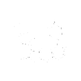 CN1CCN(c2cc(CN3CC(=O)N(c4ccc(OC(F)(F)F)cc4)C3=O)ccn2)CC1